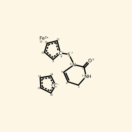 O=C1NCC=CN1S[c-]1cccc1.[Fe+2].c1cc[cH-]c1